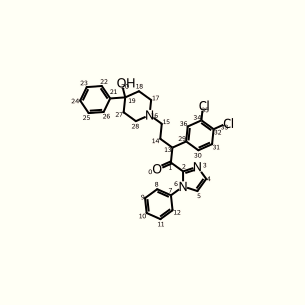 O=C(c1nccn1-c1ccccc1)C(CCN1CCC(O)(c2ccccc2)CC1)c1ccc(Cl)c(Cl)c1